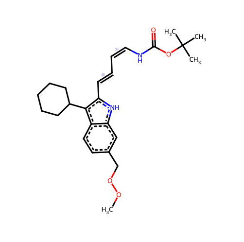 COOCc1ccc2c(C3CCCCC3)c(/C=C/C=C\NC(=O)OC(C)(C)C)[nH]c2c1